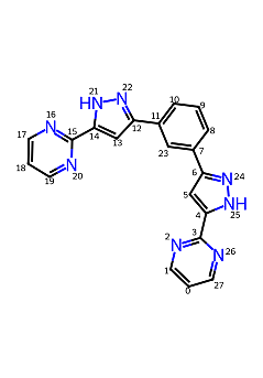 c1cnc(-c2cc(-c3cccc(-c4cc(-c5ncccn5)[nH]n4)c3)n[nH]2)nc1